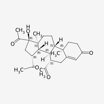 CC(=O)[C@H]1CC2=CC(=O)CC[C@]2(C)[C@H]2CC[C@@]3(C)[C@H]([C@H]12)[C@H](C(C)=O)C[C@]3(O)C(C)=O